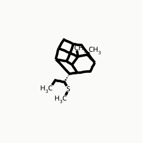 CCC(SC)[C@H]1C2CC3CC4CC5C1C1C2C(C)(C3C)C451